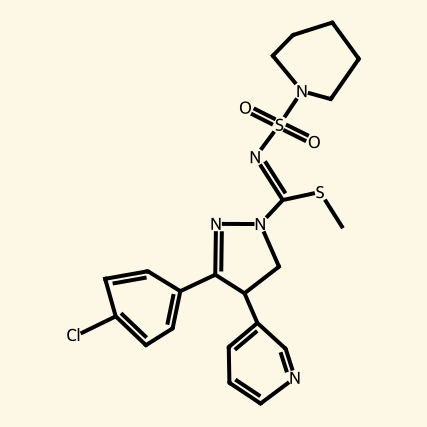 CS/C(=N\S(=O)(=O)N1CCCCC1)N1CC(c2cccnc2)C(c2ccc(Cl)cc2)=N1